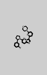 Fc1cccc(C2CCCN2c2ccc3ncc(-c4cccc(N5CCOCC5)n4)n3n2)c1